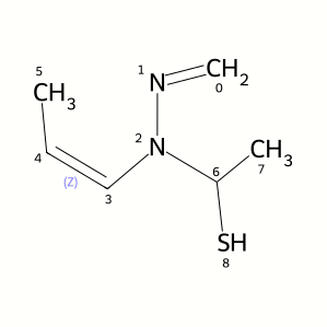 C=NN(/C=C\C)C(C)S